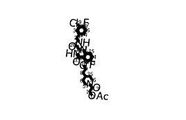 CC(=O)OCC(=O)N1CCC(CCOc2c(F)ccc3nc(C(=O)NCc4ccc(F)c(Cl)c4)[nH]c(=O)c23)CC1